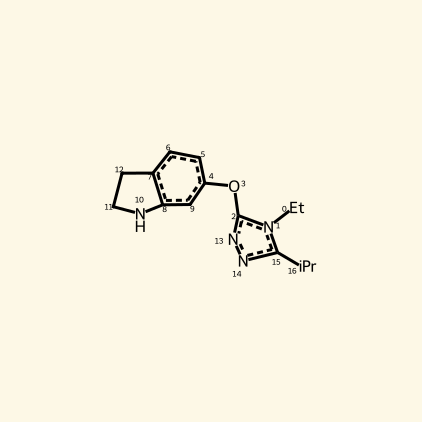 CCn1c(Oc2ccc3c(c2)NCC3)nnc1C(C)C